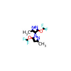 CC1=C(n2nc(C)cc2OC(F)F)C(OC(F)F)=N[N]1